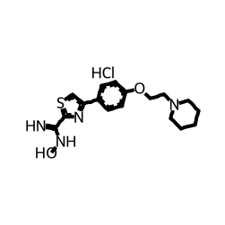 Cl.N=C(NO)c1nc(-c2ccc(OCCN3CCCCC3)cc2)cs1